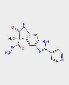 CC1(C(=O)NN)C(=O)Nc2cc3[nH]c(-c4ccncc4)nc3cc21